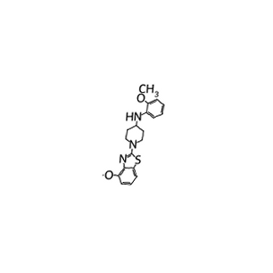 COc1ccccc1NC1CCN(c2nc3c([O])cccc3s2)CC1